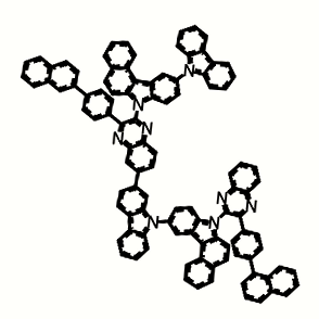 c1ccc2cc(-c3ccc(-c4nc5cc(-c6ccc7c8ccccc8n(-c8ccc9c(c8)c8c%10ccccc%10ccc8n9-c8nc9ccccc9nc8-c8ccc(-c9cccc%10ccccc9%10)cc8)c7c6)ccc5nc4-n4c5ccc(-n6c7ccccc7c7ccccc76)cc5c5c6ccccc6ccc54)cc3)ccc2c1